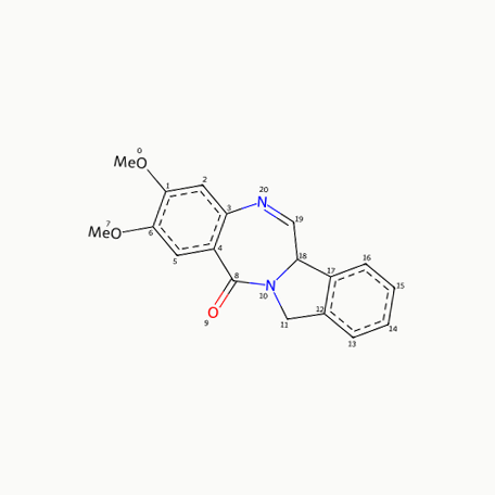 COc1cc2c(cc1OC)C(=O)N1Cc3ccccc3C1C=N2